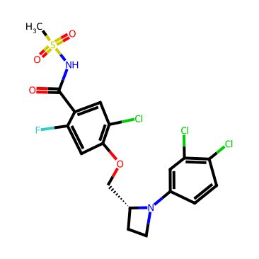 CS(=O)(=O)NC(=O)c1cc(Cl)c(OC[C@H]2CCN2c2ccc(Cl)c(Cl)c2)cc1F